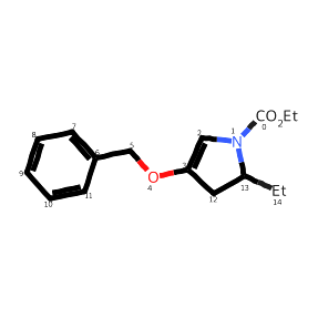 CCOC(=O)N1C=C(OCc2ccccc2)CC1CC